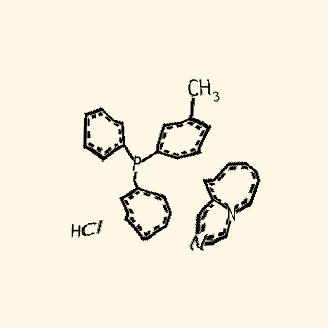 Cc1cccc(P(c2ccccc2)c2ccccc2)c1.Cl.c1ccn2cncc2c1